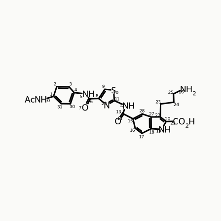 CC(=O)Nc1ccc(NC(=O)c2csc(NC(=O)c3ccc4[nH]c(C(=O)O)c(CCCN)c4c3)n2)cc1